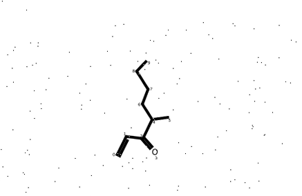 C=CC(=O)C(C)CCCC